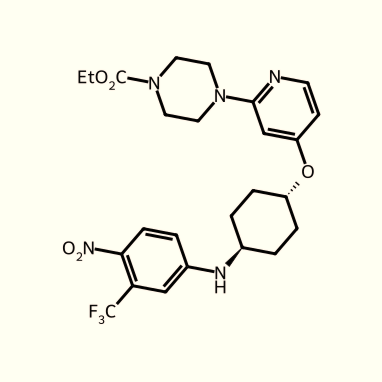 CCOC(=O)N1CCN(c2cc(O[C@H]3CC[C@H](Nc4ccc([N+](=O)[O-])c(C(F)(F)F)c4)CC3)ccn2)CC1